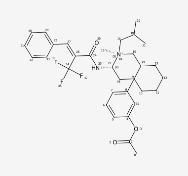 CC(=O)Oc1cccc(C23CCCCC2C[N@+](C)(CC(C)C)[C@@H](NC(=O)C(=Cc2ccccc2)C(F)(F)F)C3)c1